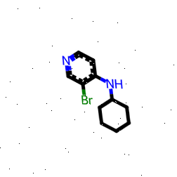 Brc1cnccc1NC1CCCCC1